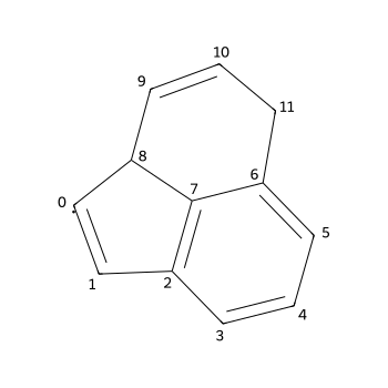 [C]1=Cc2cccc3c2C1C=CC3